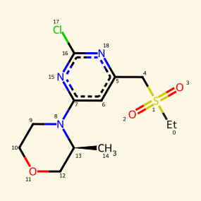 CCS(=O)(=O)Cc1cc(N2CCOC[C@@H]2C)nc(Cl)n1